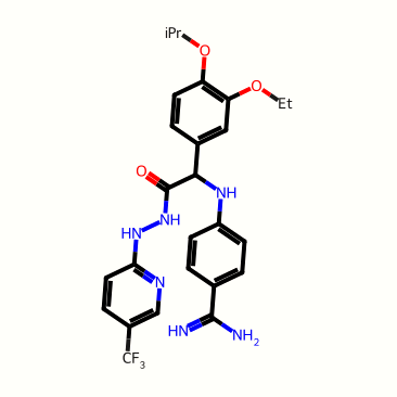 CCOc1cc(C(Nc2ccc(C(=N)N)cc2)C(=O)NNc2ccc(C(F)(F)F)cn2)ccc1OC(C)C